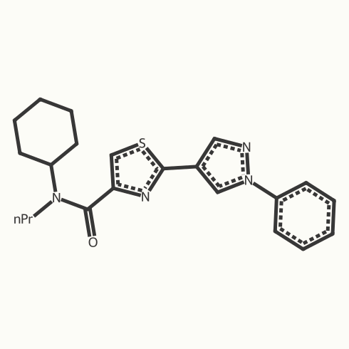 CCCN(C(=O)c1csc(-c2cnn(-c3ccccc3)c2)n1)C1CCCCC1